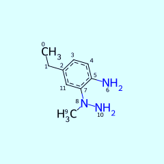 CCc1ccc(N)c(N(C)N)c1